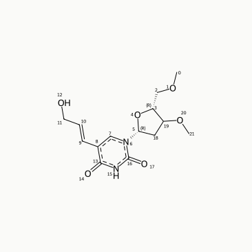 COC[C@H]1O[C@@H](n2cc(C=CCO)c(=O)[nH]c2=O)CC1OC